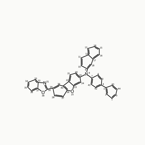 c1ccc(-c2ccc(N(c3ccc4ccccc4c3)c3ccc4c(c3)oc3ccc(-c5nc6ccccc6o5)cc34)cc2)cc1